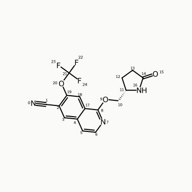 N#Cc1cc2ccnc(OC[C@@H]3CCC(=O)N3)c2cc1OC(F)(F)F